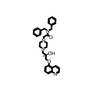 O=C(CN1CCN(C[C@@H](O)COc2cccc3ncccc23)CC1)N(Cc1ccccc1)Cc1ccccc1